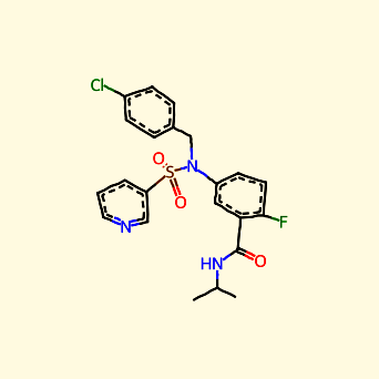 CC(C)NC(=O)c1cc(N(Cc2ccc(Cl)cc2)S(=O)(=O)c2cccnc2)ccc1F